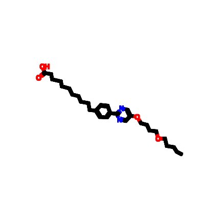 CCCCCOCCCCOc1cnc(-c2ccc(CCCCCCCCCCC(=O)O)cc2)nc1